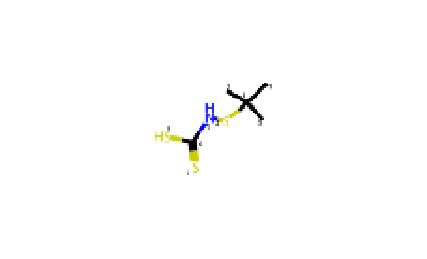 CC(C)(C)SNC(=S)S